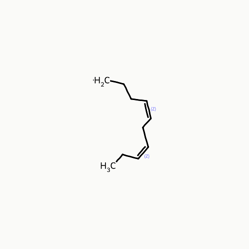 [CH2]CC/C=C\C/C=C\CC